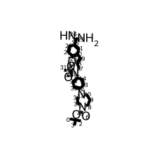 CC(C)(C)OC(=O)N1CCCN(c2ccc(N(Cc3cc4cc(C(=N)N)ccc4o3)S(C)(=O)=O)cc2)CC1